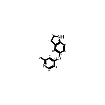 Cc1cc(Oc2ccc3c(c2)CCN3)ccn1